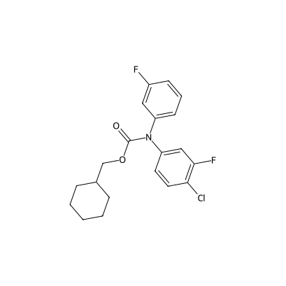 O=C(OCC1CCCCC1)N(c1cccc(F)c1)c1ccc(Cl)c(F)c1